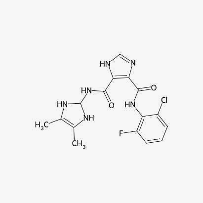 CC1=C(C)NC(NC(=O)c2[nH]cnc2C(=O)Nc2c(F)cccc2Cl)N1